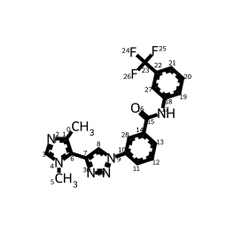 Cc1ncn(C)c1-c1cn(-c2cccc(C(=O)Nc3cccc(C(F)(F)F)c3)c2)nn1